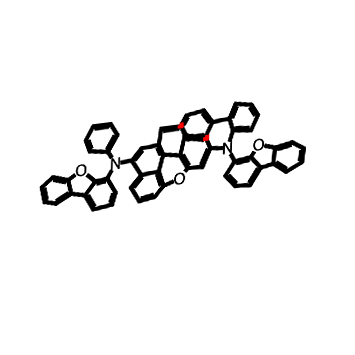 c1ccc(-c2ccccc2N(c2cc3c4c(ccc5cc(N(c6ccccc6)c6cccc7c6oc6ccccc67)c6cccc(c6c54)O3)c2)c2cccc3c2oc2ccccc23)cc1